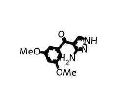 COc1cc(OC)cc(C(=O)c2c[nH]nc2N)c1